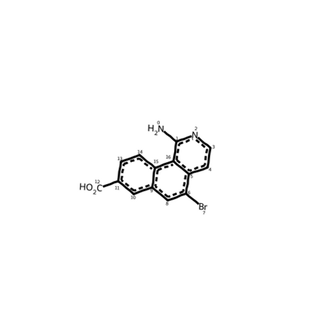 Nc1nccc2c(Br)cc3cc(C(=O)O)ccc3c12